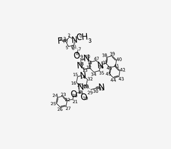 CN1C[C@H](F)C[C@H]1COc1nc2c(c(N3CCN(C(=O)OCc4ccccc4)[C@@H](CC#N)C3)n1)CCN(c1cccc3ccccc13)C2